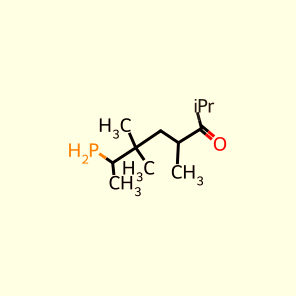 CC(C)C(=O)C(C)CC(C)(C)C(C)P